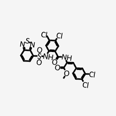 COC(=O)C(=Cc1ccc(Cl)c(Cl)c1)NC(=O)c1cc(Cl)c(Cl)cc1NS(=O)(=O)c1cccc2nsnc12